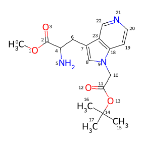 COC(=O)C(N)Cc1cn(CC(=O)OC(C)(C)C)c2ccncc12